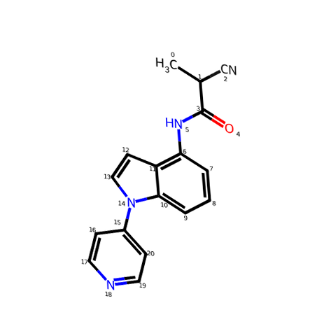 CC(C#N)C(=O)Nc1cccc2c1ccn2-c1ccncc1